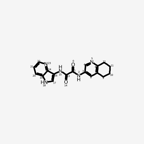 O=C(Nc1cnc2c(c1)CCCC2)C(=O)Nc1c[nH]c2cccnc12